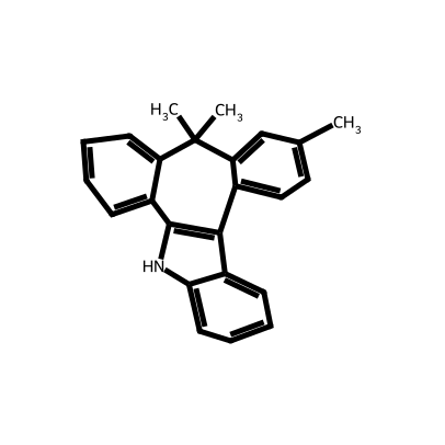 Cc1ccc2c(c1)C(C)(C)c1ccccc1-c1[nH]c3ccccc3c1-2